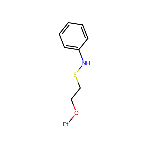 CCOCCSNc1ccccc1